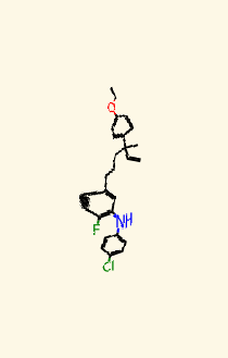 C=CC(C)(CCCc1ccc(F)c(Nc2ccc(Cl)cc2)c1)c1ccc(OCC)cc1